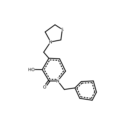 O=c1c(O)c(CN2CCSC2)ccn1Cc1ccccc1